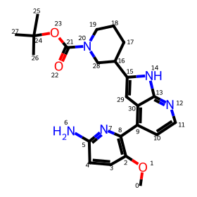 COc1ccc(N)nc1-c1ccnc2[nH]c(C3CCCN(C(=O)OC(C)(C)C)C3)cc12